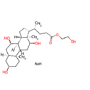 C[C@H](CCC(=O)OCCO)[C@H]1CC[C@H]2[C@@H]3[C@H](O)C[C@@H]4C[C@H](O)CC[C@]4(C)[C@H]3C[C@H](O)[C@]12C.[NaH]